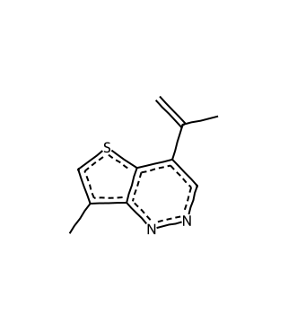 C=C(C)c1cnnc2c(C)csc12